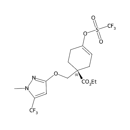 CCOC(=O)[C@]1(COc2cc(C(F)(F)F)n(C)n2)CC=C(OS(=O)(=O)C(F)(F)F)CC1